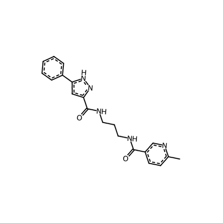 Cc1ccc(C(=O)NCCCNC(=O)c2cc(-c3ccccc3)[nH]n2)cn1